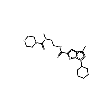 Cc1nn(C2CCCCC2)c2sc(C(=O)NCCN(C)C(=O)N3CCOCC3)cc12